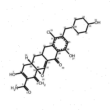 C=C1C(C(N)=O)=C(O)C[C@@H]2CC3Cc4c(Cl)c(CN5CCC(O)CC5)cc(O)c4C(=O)C3=C3O[C@]132